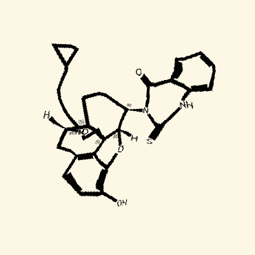 O=c1c2ccccc2[nH]c(=S)n1[C@@H]1CC[C@@]2(O)[C@H]3Cc4ccc(O)c5c4[C@@]2(CCN3CC2CC2)[C@H]1O5